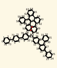 c1ccc(-c2ccc(-c3ccc(N(c4ccc(-c5ccc(-c6ccccc6)cc5-c5ccccc5)cc4)c4ccc(-c5cccc6c5c(-c5ccccc5)c(-c5ccccc5)c5ccccc56)cc4)cc3)cc2)cc1